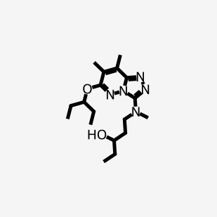 CCC(O)CCN(C)c1nnc2c(C)c(C)c(OC(CC)CC)nn12